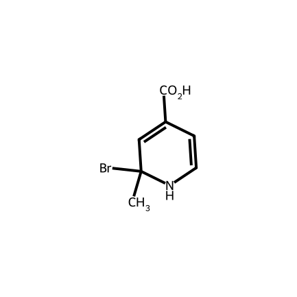 CC1(Br)C=C(C(=O)O)C=CN1